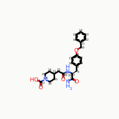 NC(=O)[C@H](Cc1ccc(OCc2ccccc2)cc1)NC(=O)CC1CCN(C(=O)O)CC1